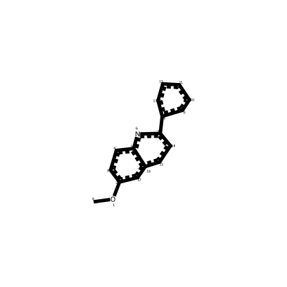 COc1ccc2nc(-c3ccccc3)c[c]c2c1